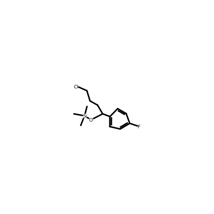 C[Si](C)(C)OC(CCCCl)c1ccc(F)cc1